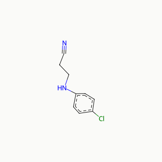 N#CCCNc1ccc(Cl)cc1